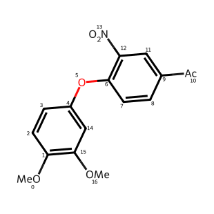 COc1ccc(Oc2ccc(C(C)=O)cc2[N+](=O)[O-])cc1OC